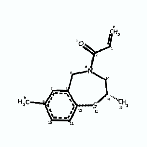 C=CC(=O)N1Cc2cc(C)ccc2S[C@@H](C)C1